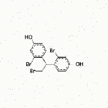 Oc1ccc(C(CBr)c2ccc(O)cc2Br)c(Br)c1